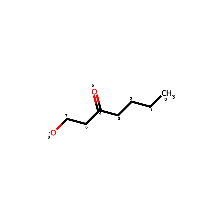 CCCCC(=O)CC[O]